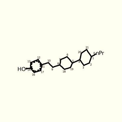 CCCC1CCC(C2CCC(CCc3ccc(O)cc3)CC2)CC1